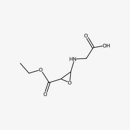 CCOC(=O)C1OC1NCC(=O)O